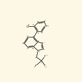 FC(F)(F)Cn1cnc2c(-c3cnccc3Cl)cccc21